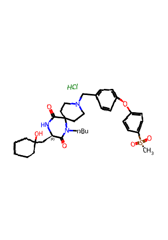 CCCCN1C(=O)[C@@H](CC2(O)CCCCC2)NC(=O)C12CCN(Cc1ccc(Oc3ccc(S(C)(=O)=O)cc3)cc1)CC2.Cl